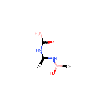 BC(=O)NC(=C)NB(C)O